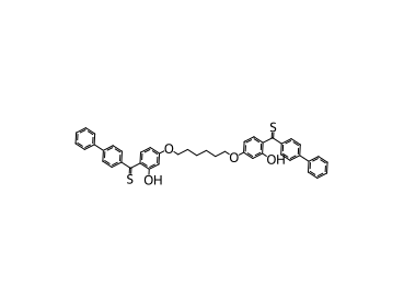 Oc1cc(OCCCCCCOc2ccc(C(=S)c3ccc(-c4ccccc4)cc3)c(O)c2)ccc1C(=S)c1ccc(-c2ccccc2)cc1